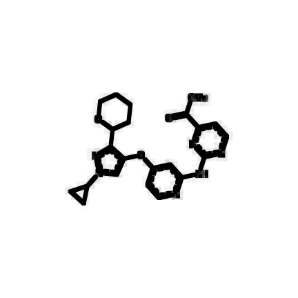 COC(=O)c1ccnc(Nc2cc(Oc3cn(C4CC4)nc3C3CCCCO3)ccn2)n1